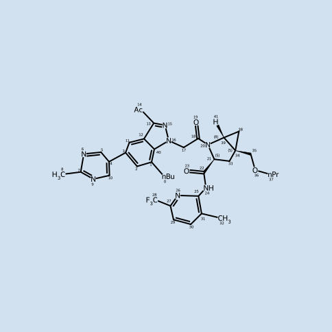 CCCCc1cc(-c2cnc(C)nc2)cc2c(C(C)=O)nn(CC(=O)N3[C@H](C(=O)Nc4nc(C(F)(F)F)ccc4C)C[C@@]4(COCCC)C[C@@H]34)c12